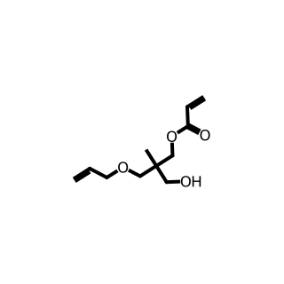 C=CCOCC(C)(CO)COC(=O)C=C